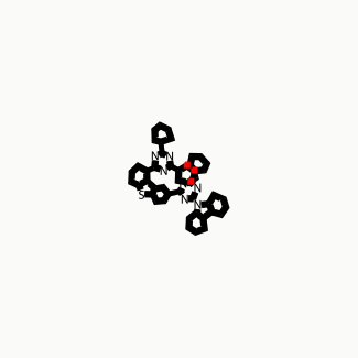 c1ccc(-c2nc(-c3ccccc3)nc(-c3cccc4sc5ccc(-c6nc(-c7ccccc7)nc(-n7c8ccccc8c8ccccc87)n6)cc5c34)n2)cc1